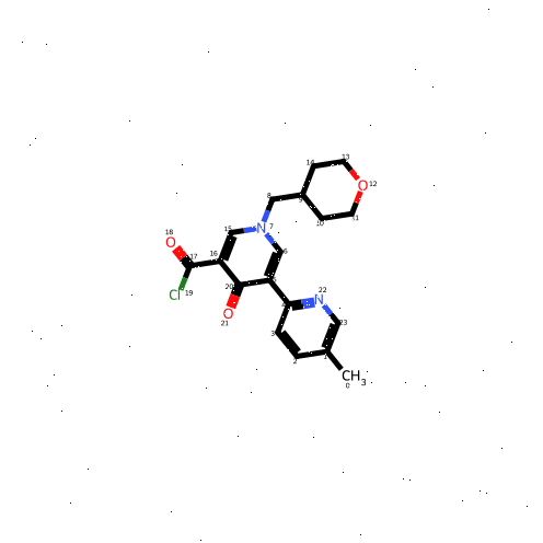 Cc1ccc(-c2cn(CC3CCOCC3)cc(C(=O)Cl)c2=O)nc1